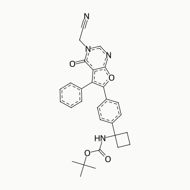 CC(C)(C)OC(=O)NC1(c2ccc(-c3oc4ncn(CC#N)c(=O)c4c3-c3ccccc3)cc2)CCC1